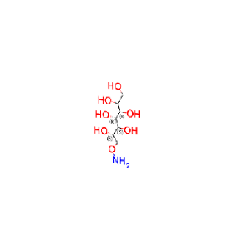 NOC[C@H](O)[C@H](O)[C@H](O)[C@H](O)C(O)CO